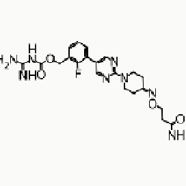 N=C(N)NC(=O)OCc1cccc(-c2cnc(N3CCC(=NOCCC(N)=O)CC3)nc2)c1F